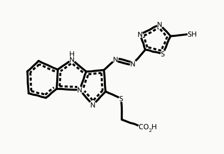 O=C(O)CSc1nn2c([nH]c3ccccc32)c1/N=N/c1nnc(S)s1